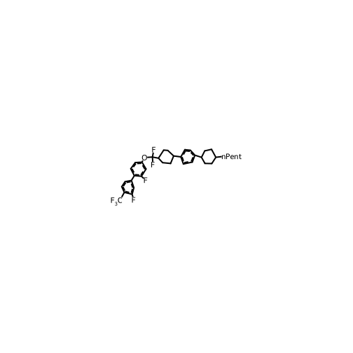 CCCCCC1CCC(c2ccc(C3CCC(C(F)(F)Oc4ccc(-c5ccc(C(F)(F)F)c(F)c5)c(F)c4)CC3)cc2)CC1